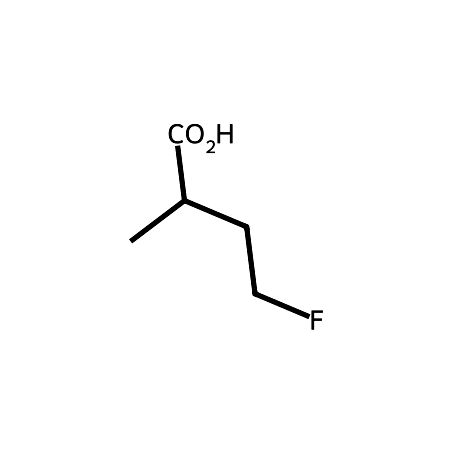 CC(CCF)C(=O)O